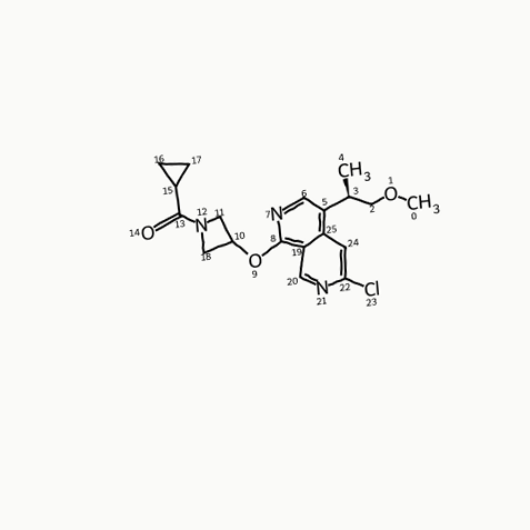 COC[C@H](C)c1cnc(OC2CN(C(=O)C3CC3)C2)c2cnc(Cl)cc12